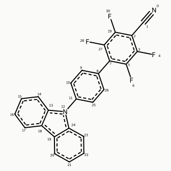 N#Cc1c(F)c(F)c(-c2ccc(-n3c4ccccc4c4ccccc43)cc2)c(F)c1F